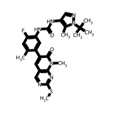 CSc1ncc2cc(-c3cc(NC(=O)Nc4cnn(C(C)(C)C)c4C)c(F)cc3C)c(=O)n(C)c2n1